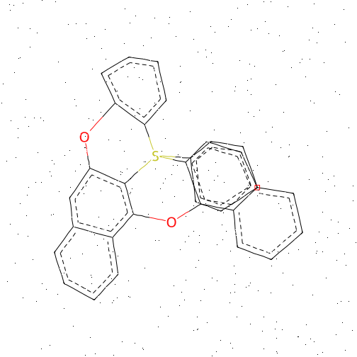 c1ccc(S23c4ccccc4Oc4cc5ccccc5c(c42)Oc2c3ccc3ccccc23)cc1